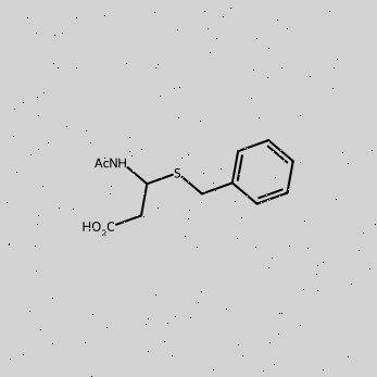 CC(=O)NC(CC(=O)O)SCc1ccccc1